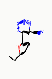 CCc1ccc(-c2nn[nH]c2C#N)o1